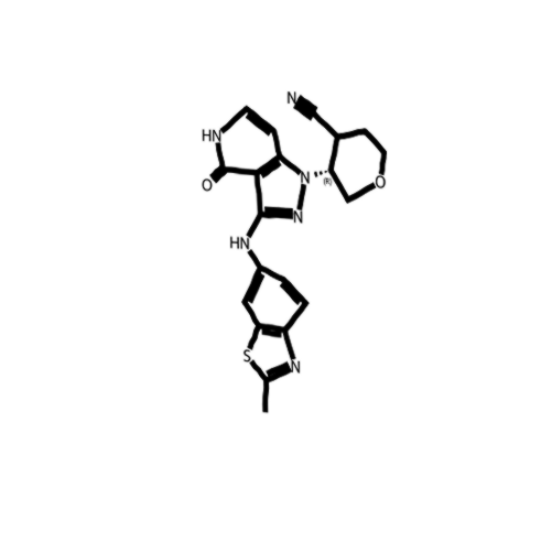 Cc1nc2ccc(Nc3nn([C@H]4COCCC4C#N)c4cc[nH]c(=O)c34)cc2s1